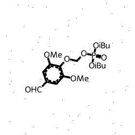 COc1cc(C=O)cc(OC)c1OCOP(=O)(OCC(C)C)OCC(C)C